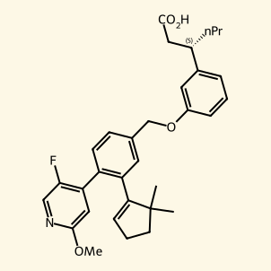 CCC[C@@H](CC(=O)O)c1cccc(OCc2ccc(-c3cc(OC)ncc3F)c(C3=CCCC3(C)C)c2)c1